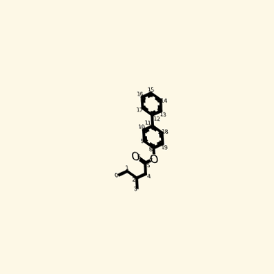 CCC(C)CC(=O)Oc1ccc(-c2ccccc2)cc1